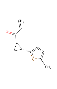 C=CC(=O)[C@H]1C[C@H]1c1ccc(C)s1